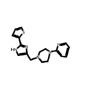 c1ccc(N2CCN(Cc3c[nH]c(-c4cccs4)n3)CC2)nc1